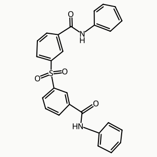 O=C(Nc1ccccc1)c1cccc(S(=O)(=O)c2cccc(C(=O)Nc3ccccc3)c2)c1